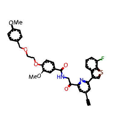 C#Cc1cc(C(=O)CNC(=O)c2ccc(OCCOCc3ccc(OC)cc3)c(OC)c2)nc(-c2csc3c(F)cccc23)c1